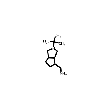 CC(C)(C)N1CC2CCC(CN)C2C1